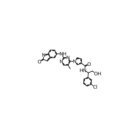 Cc1cnc(Nc2ccc3c(c2)=CC(=O)N=3)nc1-n1ccc(C(=O)NC(CO)c2cccc(Cl)c2)c1